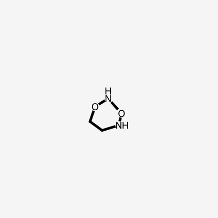 C1CONON1